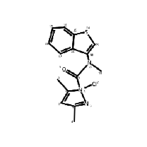 CC1=CC(C)=N[N+]1(Cl)C(=O)N(C)c1csc2ccccc12